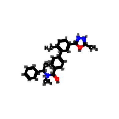 Cc1nnc(-c2ccc(C)c(-c3ccc(C(=O)N(C)C(C)c4ccccc4)cc3)c2)o1